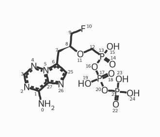 Nc1ncnn2c(C[C@@H](CF)OCP(=O)(O)OP(=O)(O)OP(=O)(O)O)cnc12